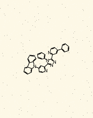 c1ccc(-c2ccnc(-c3nnc(-c4cc(-n5c6ccccc6c6ccccc65)ccn4)n3-c3ccccc3)c2)cc1